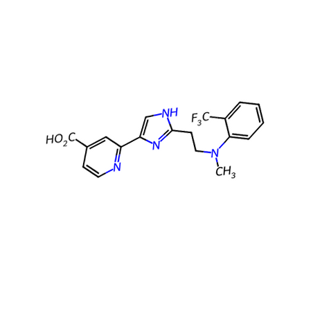 CN(CCc1nc(-c2cc(C(=O)O)ccn2)c[nH]1)c1ccccc1C(F)(F)F